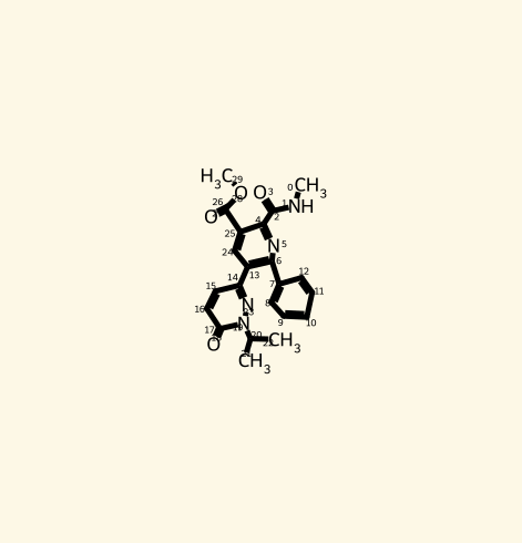 CNC(=O)c1nc(-c2ccccc2)c(-c2ccc(=O)n(C(C)C)n2)cc1C(=O)OC